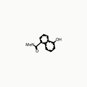 CNC(=O)c1cccc2c(O)cccc12